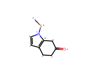 O=C1CCc2ccn(SI)c2C1